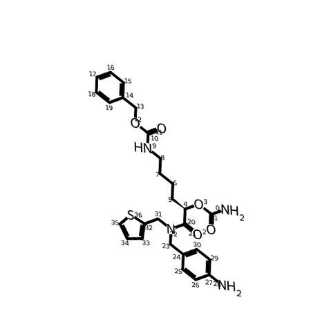 NC(=O)O[C@H](CCCCNC(=O)OCc1ccccc1)C(=O)N(Cc1ccc(N)cc1)Cc1cccs1